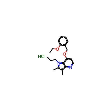 CCCn1c(C)c(C)c2nccc(OCc3ccccc3OCC)c21.Cl